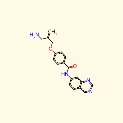 C=C(CN)COc1ccc(C(=O)Nc2ccc3cncnc3c2)cc1